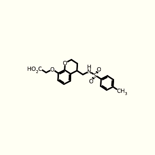 Cc1ccc(S(=O)(=O)NCC2CCOc3c(OCC(=O)O)cccc32)cc1